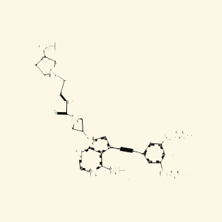 COc1cc(C#Cc2cn(C3CN(C(=O)C=CCN4CC[C@@H](O)C4)C3)c3ncnc(N)c23)cc(OC)c1